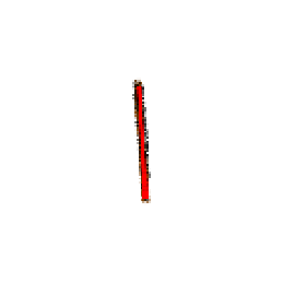 S=S=S=S=S=S=S=S=S=S=S=S=S=S=S=S=S=S=S=S=S=S=S=S=S=S=S=S=S=S=S=S=S=S=S=S=S=S=S=S=S=S=S=S=S=S=S=S=S=S=S=S